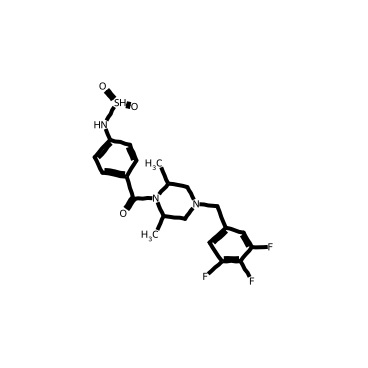 CC1CN(Cc2cc(F)c(F)c(F)c2)CC(C)N1C(=O)c1ccc(N[SH](=O)=O)cc1